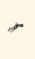 C=CC1(O)CCN(C(=O)OCc2ccccc2)CC1